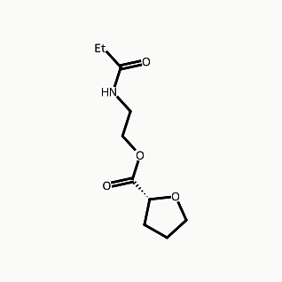 CCC(=O)NCCOC(=O)[C@H]1CCCO1